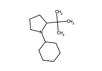 CC(C)(C)C1CCCN1C1CCCCC1